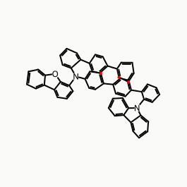 c1ccc(-c2ccc(-c3ccccc3N(c3ccc(-c4ccc(-c5ccccc5-n5c6ccccc6c6ccccc65)cc4)cc3)c3cccc4c3oc3ccccc34)cc2)cc1